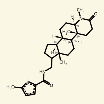 Cc1ccc(C(=O)NCC2CC[C@H]3[C@@H]4CC[C@H]5N(C)C(=O)CC[C@]5(C)[C@H]4CC[C@]23C)s1